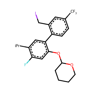 CC(C)c1cc(-c2ccc(C(F)(F)F)cc2CI)c(OC2CCCCO2)cc1F